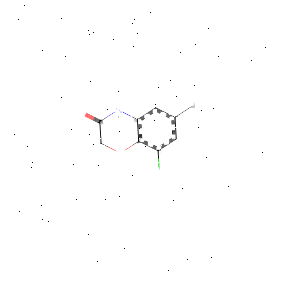 CC(C)c1cc(Cl)c2c(c1)NC(=O)CO2